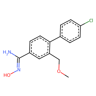 COCc1cc(/C(N)=N/O)ccc1-c1ccc(Cl)cc1